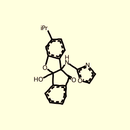 CC(C)c1ccc2c(c1)OC1(O)c3ccccc3C(=O)C21Nc1ncco1